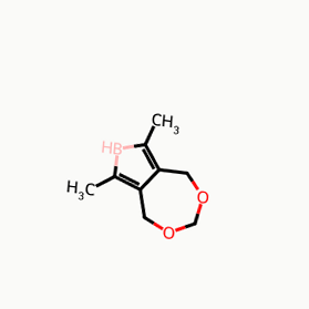 CC1=C2COCOCC2=C(C)B1